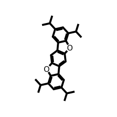 CC(C)c1cc(C(C)C)c2oc3cc4c(cc3c2c1)oc1c(C(C)C)cc(C(C)C)cc14